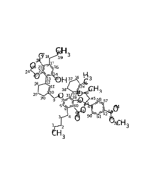 CCCCCc1cc(OCC2=CC(c3c(O)cc(CCC)c4c3OCOC4=O)CCC2)c(C2C=C(C)CCC2)c2c1C(=O)OC(CC(C)=O)(c1ccc(C(=O)OC)cc1)O2